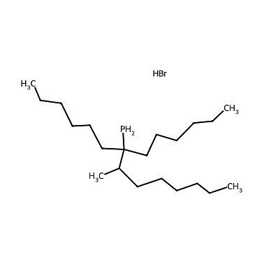 Br.CCCCCCC(C)C(P)(CCCCCC)CCCCCC